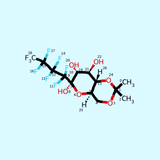 CC1(C)OC[C@H]2O[C@@](O)(C(F)(F)C(F)(F)C(F)(F)C(F)(F)F)[C@H](O)[C@@H](O)[C@@H]2O1